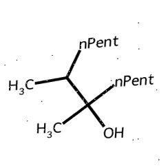 CCCCCC(C)C(C)(O)CCCCC